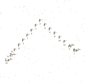 [Al+3].[Ba+2].[F-].[F-].[F-].[F-].[F-].[F-].[F-].[F-].[F-].[F-].[F-].[F-].[La+3].[Zr+4]